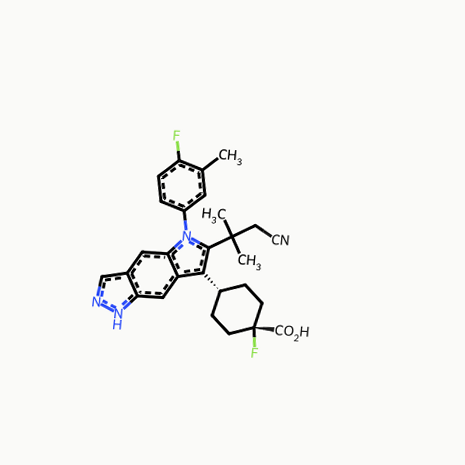 Cc1cc(-n2c(C(C)(C)CC#N)c([C@H]3CC[C@](F)(C(=O)O)CC3)c3cc4[nH]ncc4cc32)ccc1F